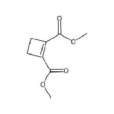 COC(=O)C1=C(C(=O)OC)CC1